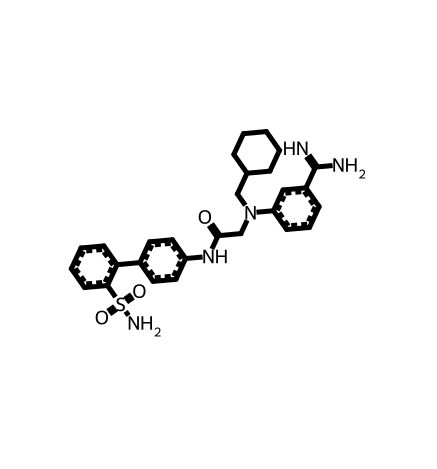 N=C(N)c1cccc(N(CC(=O)Nc2ccc(-c3ccccc3S(N)(=O)=O)cc2)CC2CCCCC2)c1